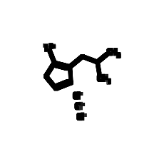 CC(C)CC1=[C]([Ti+3])CC=C1.[Cl-].[Cl-].[Cl-]